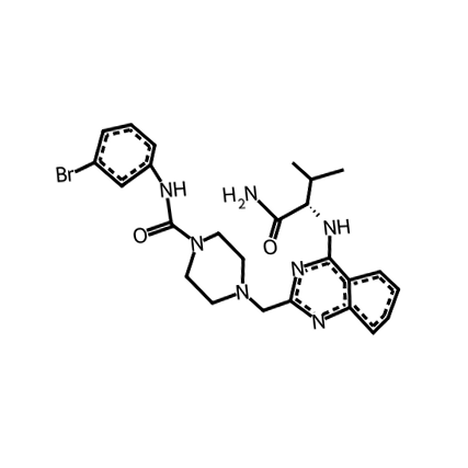 CC(C)[C@H](Nc1nc(CN2CCN(C(=O)Nc3cccc(Br)c3)CC2)nc2ccccc12)C(N)=O